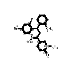 Cc1ccccc1C(CC(=NO)c1ccc(=O)n(C)c1)c1ccc(Br)cc1F